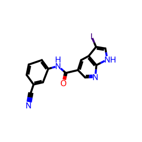 N#Cc1cccc(NC(=O)c2cnc3[nH]cc(I)c3c2)c1